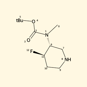 CN(C(=O)OC(C)(C)C)[C@@H]1CNCC[C@H]1F